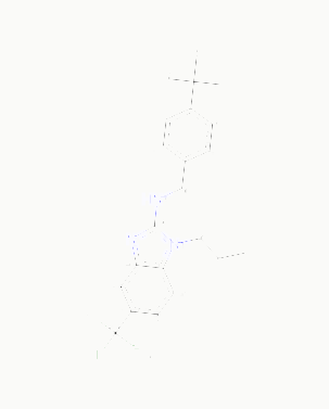 CCCn1c(NCc2ccc(C(C)(C)C)cc2)nc2cc(C(F)(F)F)ccc21